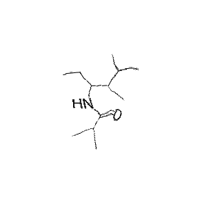 CCC(NC(=O)C(C)C)C(C)C(C)C